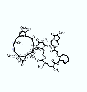 COc1cc2cc(c1Cl)CC(=O)C[C@H](OC(=O)[C@H](C)N(C)C(=O)CCOC(=O)N(C)CCN(C)C(=O)OC1/C=C/CCCCC1OCC(=O)NCCN1C(=O)CC(SC)C1=O)[C@]1(C)O[C@H]1[C@H](C)[C@@H]1C[C@@](O)(NC(=O)O1)[C@H](OC)/C=C/C=C(\C)C2